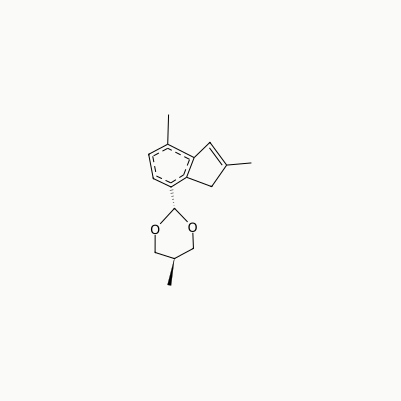 CC1=Cc2c(C)ccc([C@H]3OC[C@H](C)CO3)c2C1